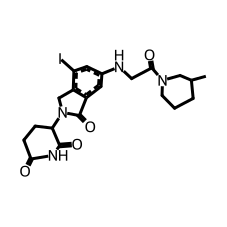 CC1CCCN(C(=O)CNc2cc(I)c3c(c2)C(=O)N(C2CCC(=O)NC2=O)C3)C1